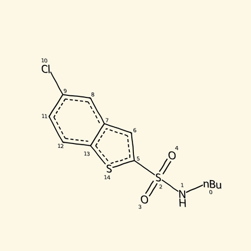 CCCCNS(=O)(=O)c1cc2cc(Cl)ccc2s1